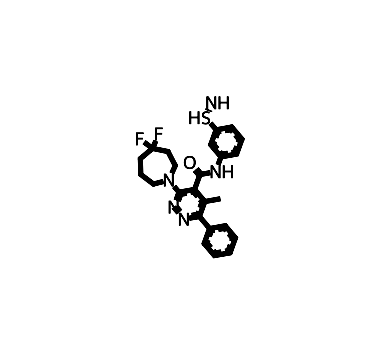 Cc1c(-c2ccccc2)nnc(N2CCCC(F)(F)CC2)c1C(=O)Nc1cccc([SH]=N)c1